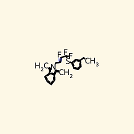 C=c1c2ccccc2c(=C)n1C/C=C(\F)C(F)(F)Sc1cccc(CC)c1